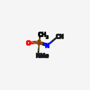 CNS(C)(=O)=NC#N